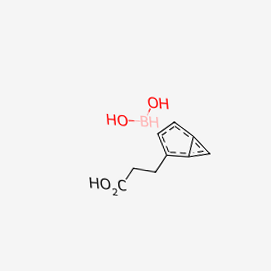 O=C(O)CCc1ccc2cc1-2.OBO